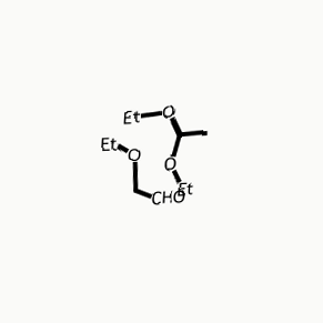 CCOC(C)OCC.CCOCC=O